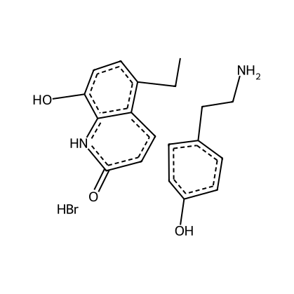 Br.CCc1ccc(O)c2[nH]c(=O)ccc12.NCCc1ccc(O)cc1